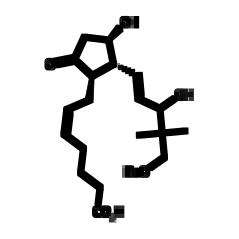 CC(C)COCC(C)(C)C(O)/C=C/[C@H]1[C@H](O)CC(=O)[C@@H]1C/C=C\CCCC(=O)O